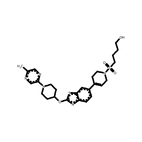 Cc1cnc(N2CCC(Oc3nc4ccc(C5=CCN(S(=O)(=O)CCCCO)CC5)cc4s3)CC2)cn1